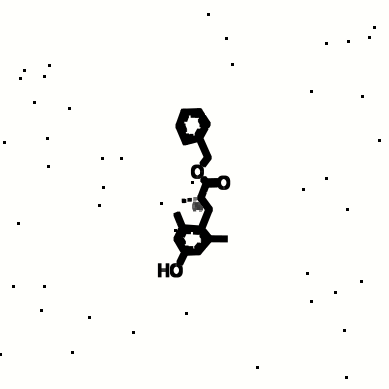 Cc1cc(O)cc(C)c1C[C@H](C)C(=O)OCc1ccccc1